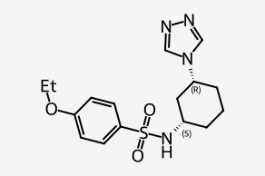 CCOc1ccc(S(=O)(=O)N[C@H]2CCC[C@@H](n3cnnc3)C2)cc1